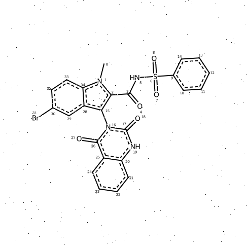 Cn1c(C(=O)NS(=O)(=O)c2ccccc2)c(-n2c(=O)[nH]c3ccccc3c2=O)c2cc(Br)ccc21